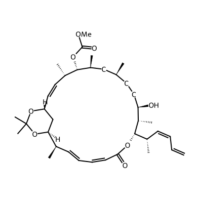 C=C/C=C\[C@H](C)[C@@H]1OC(=O)/C=C\C=C\[C@@H](C)[C@@H]2C[C@@H](/C=C\[C@H](C)[C@H](OC(=O)OC)[C@@H](C)C[C@@H](C)CC[C@@H](O)[C@@H]1C)OC(C)(C)O2